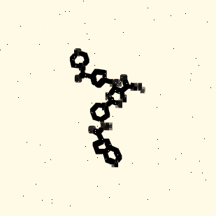 NC(=O)c1nnc(N2CCC[C@@H](NC(=O)c3ccc4cnccc4c3)C2)nc1Nc1ccc(C(=O)N2CCOCC2)cc1